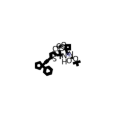 CC(C)(C)OC(=O)/N=C1\N[C@](C)(c2sc(C#CC3(c4ccccc4)CCCC3)cc2Cl)CS(=O)(=O)C12CCC2